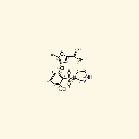 Cc1ccc(C(=O)O)o1.O=S(=O)(c1c(Cl)cccc1Cl)N1CCNCC1